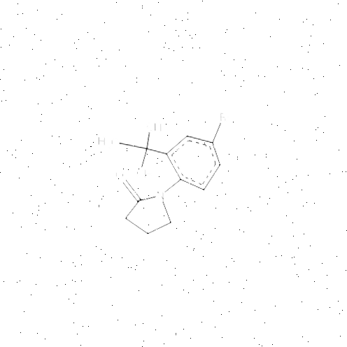 CC(C)(C)c1cc(Br)ccc1N1CCCC1=O